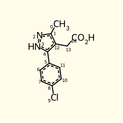 Cc1n[nH]c(-c2ccc(Cl)cc2)c1CC(=O)O